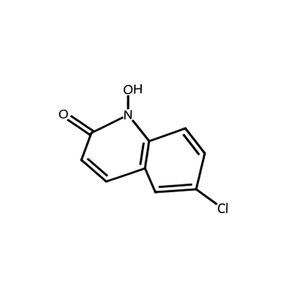 O=c1ccc2cc(Cl)ccc2n1O